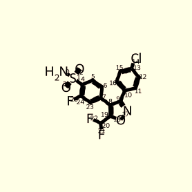 NS(=O)(=O)c1ccc(-c2c(-c3ccc(Cl)cc3)noc2C(F)F)cc1F